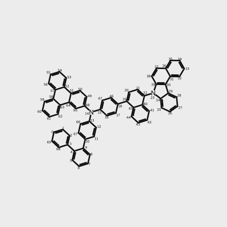 c1ccc(-c2ccccc2-c2ccc(N(c3ccc(-c4ccc(-n5c6ccccc6c6c7ccccc7ccc65)c5ccccc45)cc3)c3ccc4c5ccccc5c5ccccc5c4c3)cc2)cc1